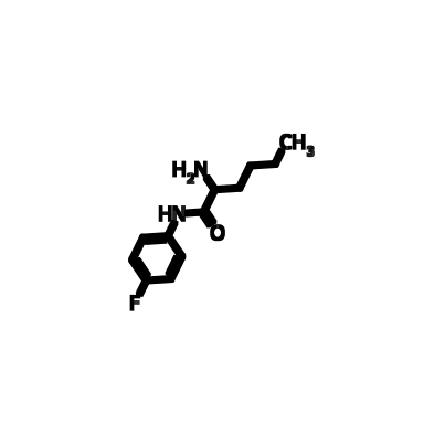 CCCCC(N)C(=O)Nc1ccc(F)cc1